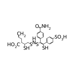 C=CC[C@@H](C(=O)O)C(S)CSNS/C(=C(\S)c1ccc(S(=O)(=O)O)cc1)c1ccc(C(N)=O)cc1